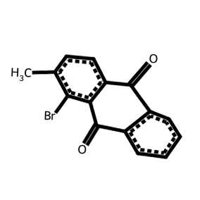 Cc1ccc2c(c1Br)C(=O)c1ccccc1C2=O